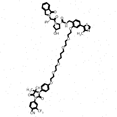 Cc1ncsc1-c1ccc(CNC(=O)[C@@H]2C[C@@H](O)CN2C(=O)[C@H](C(C)C)N2Cc3ccccc3C2=O)c(OCCOCCOCCCCOCCOCCOc2ccc(N3C(=O)N(c4ccc(C#N)c(C(F)(F)F)c4)C(=O)C3(C)C)cc2)c1